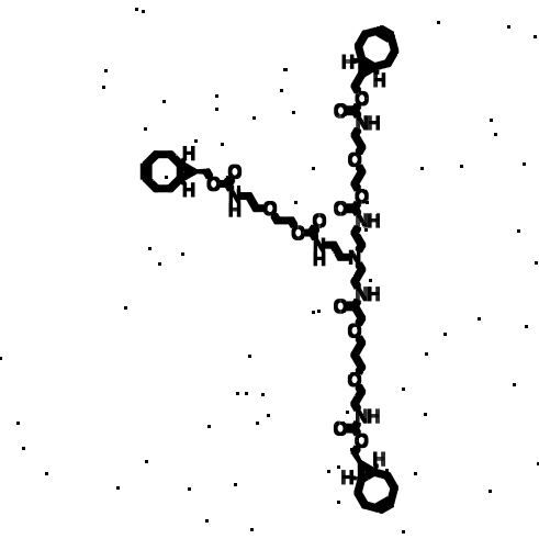 O=C(COCCCOCCNC(=O)OC[C@@H]1[C@@H]2CCC#CCC[C@@H]21)NCCN(CCNC(=O)OCCOCCNC(=O)OCC1[C@H]2CCC#CCC[C@@H]12)CCNC(=O)OCCOCCNC(=O)OC[C@@H]1[C@@H]2CCC#CCC[C@@H]21